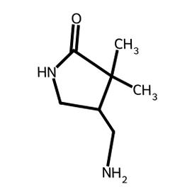 CC1(C)C(=O)NCC1CN